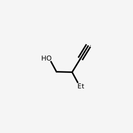 [C]#CC(CC)CO